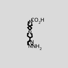 Nc1nccc(C2CCN(C3CC4(CCN(C(=O)O)C4)C3)CC2)n1